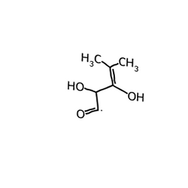 CC(C)=C(O)C(O)[C]=O